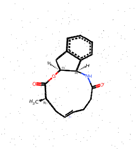 C[C@@H]1C/C=C/CCC(=O)N[C@@H]2c3ccccc3C[C@@H]2OC1=O